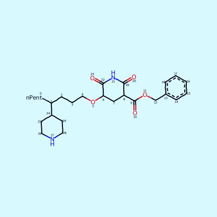 CCCCCC(CCCOC1CC(C(=O)OCc2ccccc2)C(=O)NC1=O)C1CCNCC1